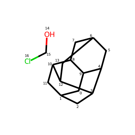 C1C2CC3C4CC5CC(C14)C(C2)C3C5.OCCl